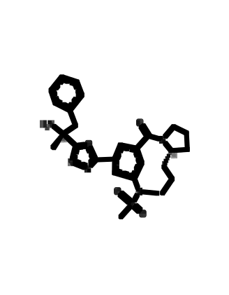 CCC[C@H]1CCCN1C(=O)c1cc(-c2nnc([C@](C)(N)Cc3ccccc3)o2)cc(N(C)S(C)(=O)=O)c1